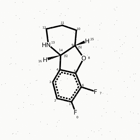 Fc1ccc2c(c1F)O[C@H]1CCCN[C@@H]21